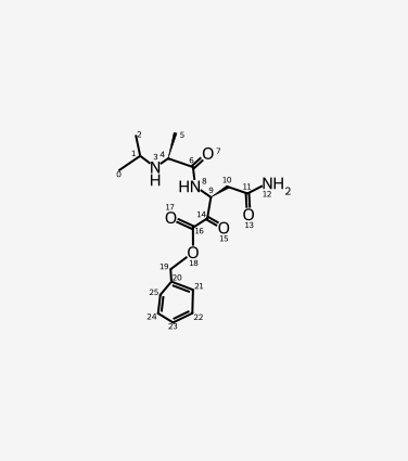 CC(C)N[C@@H](C)C(=O)N[C@@H](CC(N)=O)C(=O)C(=O)OCc1ccccc1